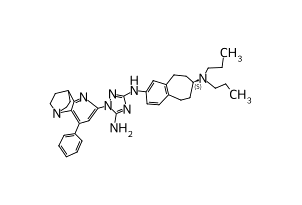 CCCN(CCC)[C@H]1CCc2ccc(Nc3nc(N)n(-c4cc(-c5ccccc5)c5c(n4)C4CCN5CC4)n3)cc2CC1